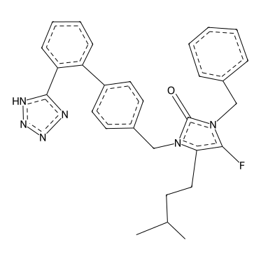 CC(C)CCc1c(F)n(Cc2ccccc2)c(=O)n1Cc1ccc(-c2ccccc2-c2nnn[nH]2)cc1